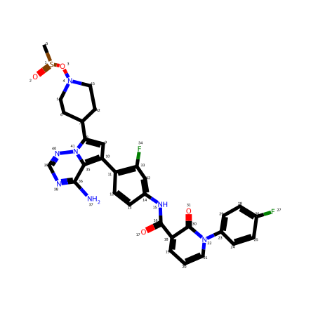 CS(=O)ON1CCC(c2cc(-c3ccc(NC(=O)c4cccn(-c5ccc(F)cc5)c4=O)cc3F)c3c(N)ncnn23)CC1